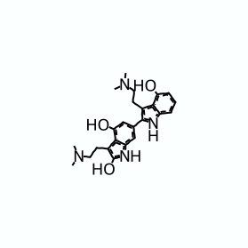 CN(C)CCc1c(O)[nH]c2cc(-c3[nH]c4cccc(O)c4c3CCN(C)C)cc(O)c12